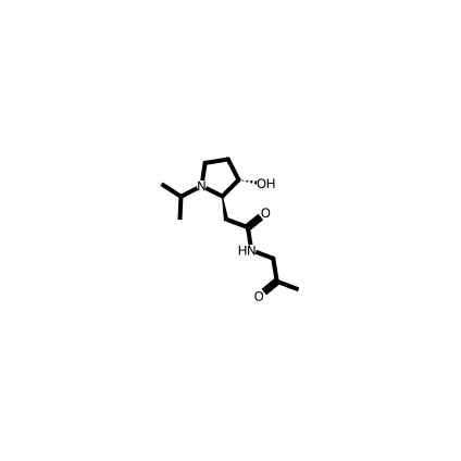 CC(=O)CNC(=O)C[C@@H]1[C@@H](O)CCN1C(C)C